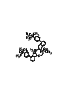 C[Si](C)(C)c1ccc(-c2cccc3c2C=C2[SiH2]C4=Cc5c(-c6ccc([Si](C)(C)C)cc6)cccc5[CH]4[Hf]([CH3])([CH3])[CH2]CCC23)cc1